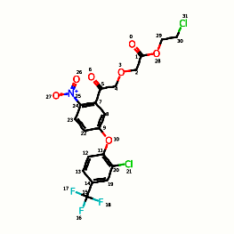 O=C(COCC(=O)c1cc(Oc2ccc(C(F)(F)F)cc2Cl)ccc1[N+](=O)[O-])OCCCl